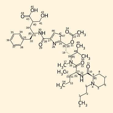 CCCCN1CCCC[C@@H]1C(=O)N[C@H](C(=O)N(C)[C@H](C[C@@H](OC(C)=O)c1nc(C(=O)N[C@@H](Cc2ccccc2)CC(CO)C(=O)O)cs1)C(C)C)[C@@H](C)CC